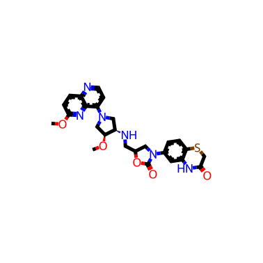 COc1ccc2nccc(N3C[C@H](NCC4CN(c5ccc6c(c5)NC(=O)CS6)C(=O)O4)[C@@H](OC)C3)c2n1